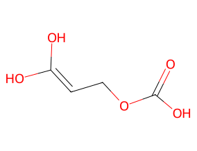 O=C(O)OCC=C(O)O